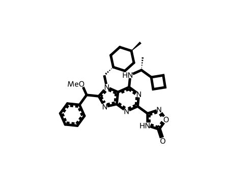 COC(c1ccccc1)c1nc2nc(-c3noc(=O)[nH]3)nc(N[C@H](C)C3CCC3)c2n1C[C@H]1CC[C@H](C)CC1